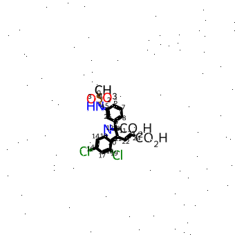 CS(=O)(=O)Nc1cccc(C2(C(=O)O)N=c3cc(Cl)cc(Cl)c3=C2C=CC(=O)O)c1